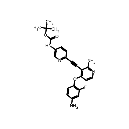 CC(C)(C)OC(=O)Nc1ccc(C#Cc2c(Oc3ccc(N)cc3F)ccnc2N)nc1